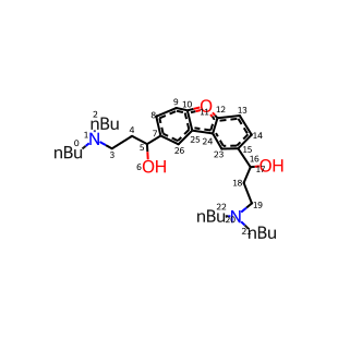 CCCCN(CCCC)CCC(O)c1ccc2oc3ccc(C(O)CCN(CCCC)CCCC)cc3c2c1